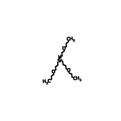 CCCCOCCC[CH2][SnH]([CH2]CCCOCCCC)[CH2]CCCOCCCC